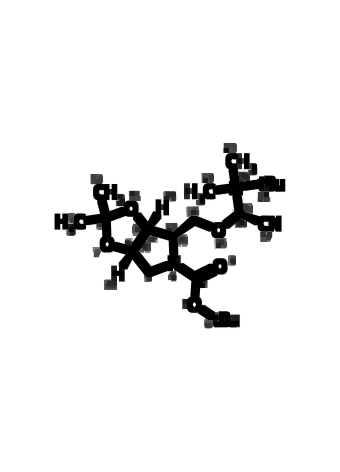 CC(C)(C)OC(=O)N1C[C@@H]2OC(C)(C)O[C@@H]2[C@H]1CO[C@H](C#N)[Si](C)(C)C(C)(C)C